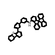 c1cc(Nc2cccc3c2-c2ccccc2C32c3ccccc3-c3ccccc32)cc(-c2cccc(-c3cccc4c3sc3ccccc34)c2)c1